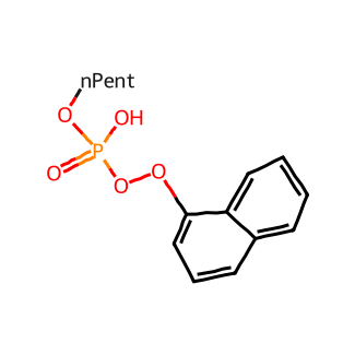 CCCCCOP(=O)(O)OOc1cccc2ccccc12